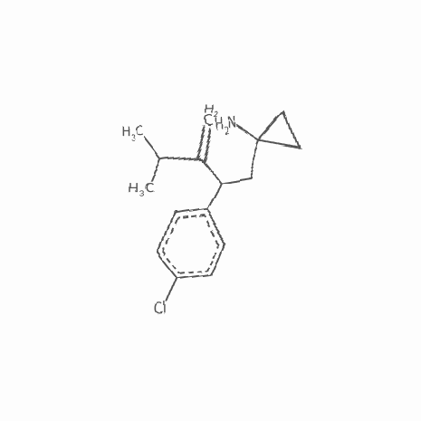 C=C(C(C)C)C(CC1(N)CC1)c1ccc(Cl)cc1